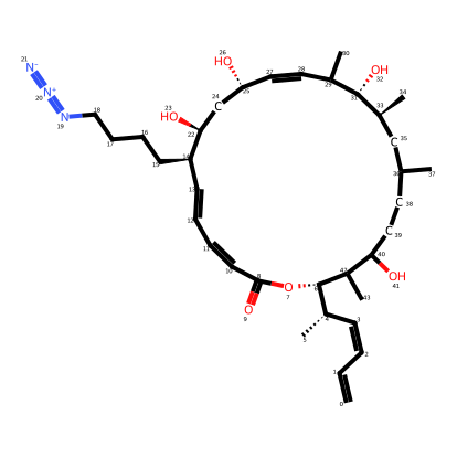 C=C/C=C\[C@H](C)[C@@H]1OC(=O)/C=C\C=C\[C@@H](CCCCN=[N+]=[N-])[C@@H](O)C[C@H](O)/C=C\C(C)[C@H](O)[C@@H](C)CC(C)CCC(O)C1C